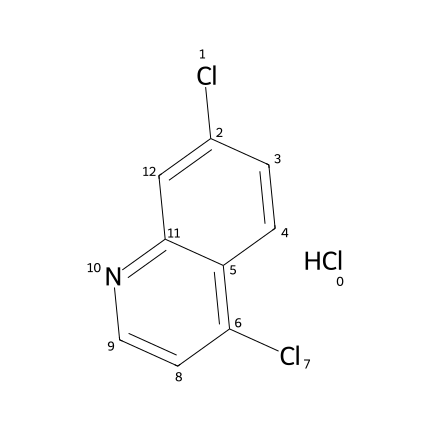 Cl.Clc1ccc2c(Cl)ccnc2c1